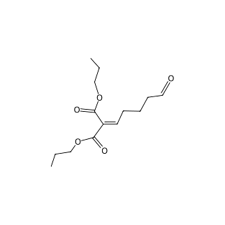 CCCOC(=O)C(=CCCCC=O)C(=O)OCCC